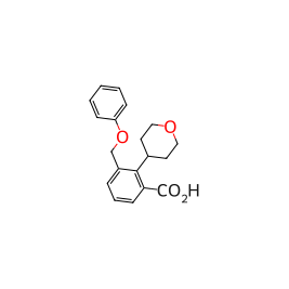 O=C(O)c1cccc(COc2ccccc2)c1C1CCOCC1